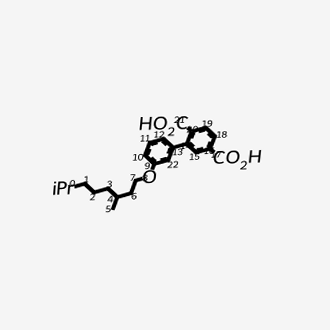 CC(C)CCCC(C)CCOc1cccc(-c2cc(C(=O)O)ccc2C(=O)O)c1